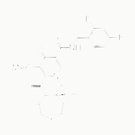 COc1c2n(cc(C(=O)NCc3ccc(F)cc3F)c1=O)C[C@]1(O)CCCCC[C@@]1(C)C2=O